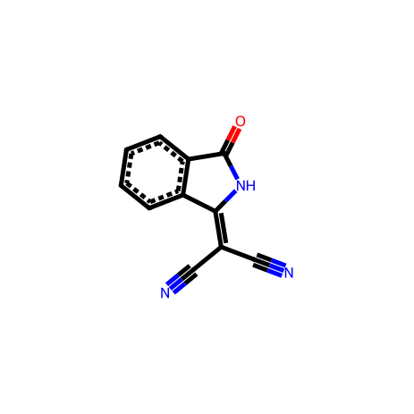 N#CC(C#N)=C1NC(=O)c2ccccc21